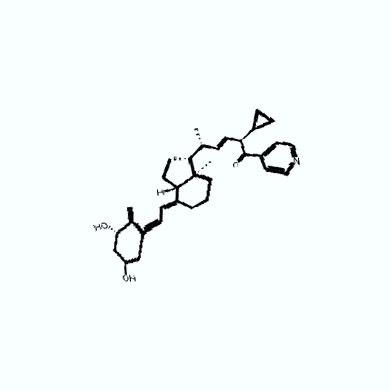 C=C1/C(=C\C=C2/CCC[C@]3(C)[C@@H]([C@H](C)/C=C/[C@H](C(=O)c4ccncc4)C4CC4)CC[C@@H]23)C[C@@H](O)C[C@@H]1O